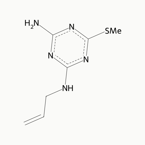 C=CCNc1nc(N)nc(SC)n1